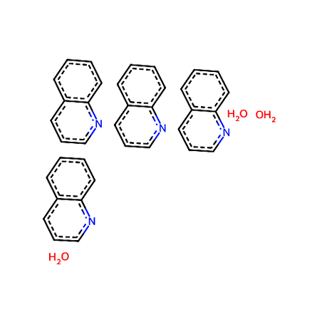 O.O.O.c1ccc2ncccc2c1.c1ccc2ncccc2c1.c1ccc2ncccc2c1.c1ccc2ncccc2c1